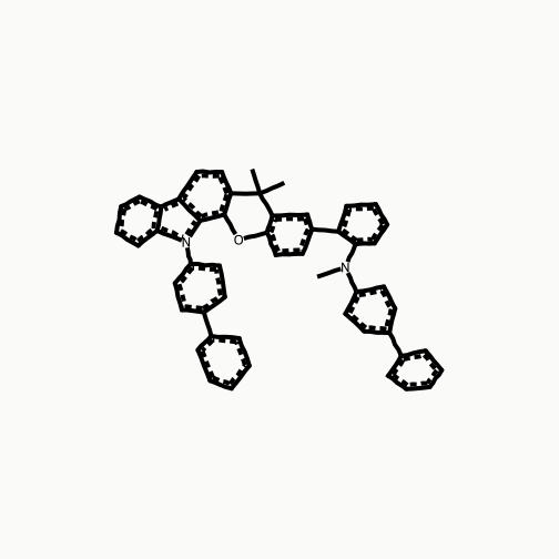 CN(c1ccc(-c2ccccc2)cc1)c1ccccc1-c1ccc2c(c1)C(C)(C)c1ccc3c4ccccc4n(-c4ccc(-c5ccccc5)cc4)c3c1O2